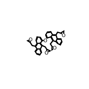 c1ccc2c(CC3CO3)c3c(Oc4cccc5c(CC6CO6)c6ccccc6c(CC6CO6)c45)cccc3c(CC3CO3)c2c1